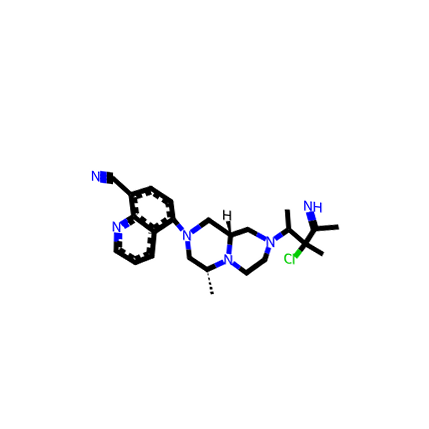 CC(=N)C(C)(Cl)C(C)N1CCN2[C@H](CN(c3ccc(C#N)c4ncccc34)C[C@H]2C)C1